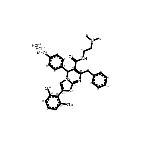 COc1ccc(C2C(C(=O)NCCN(C)C)=C(Cc3ccccc3)N=C3SC(c4c(Cl)cccc4Cl)=CN32)cc1.Cl.Cl